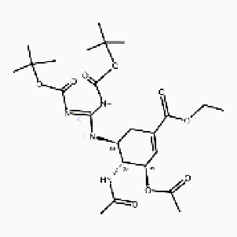 CCOC(=O)C1=C[C@@H](OC(C)=O)[C@H](NC(C)=O)[C@@H](N/C(=N/C(=O)OC(C)(C)C)NC(=O)OC(C)(C)C)C1